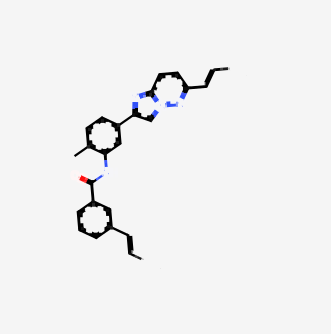 CCOC(=O)/C=C/c1cccc(C(=O)Nc2cc(-c3cn4nc(/C=C/C(=O)OCC)ccc4n3)ccc2C)c1